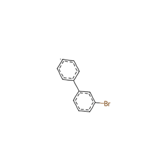 Brc1cccc(-c2cc[c]cc2)c1